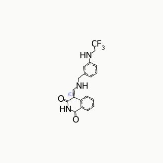 O=C1NC(=O)c2ccccc2/C1=C\NCc1cccc(NCC(F)(F)F)c1